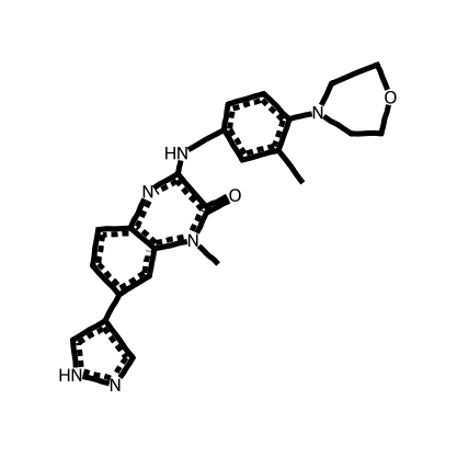 Cc1cc(Nc2nc3ccc(-c4cn[nH]c4)cc3n(C)c2=O)ccc1N1CCOCC1